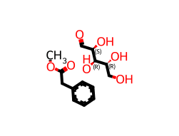 COC(=O)Cc1ccccc1.O=C[C@@H](O)[C@H](O)[C@H](O)CO